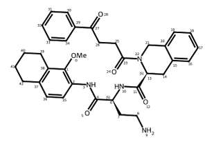 COc1c(NC(=O)[C@H](CCN)NC(=O)[C@@H]2Cc3ccccc3CN2C(=O)CCC(=O)c2ccccc2)ccc2c1CCCC2